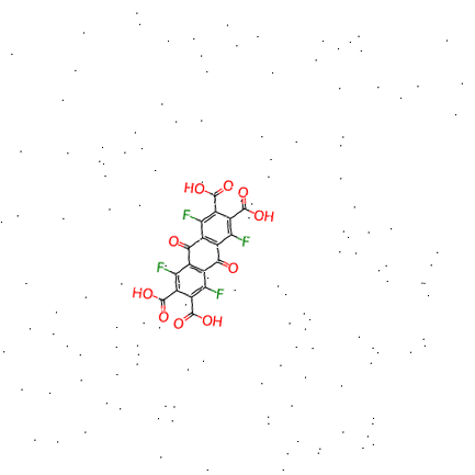 O=C(O)c1c(F)c2c(c(F)c1C(=O)O)C(=O)c1c(F)c(C(=O)O)c(C(=O)O)c(F)c1C2=O